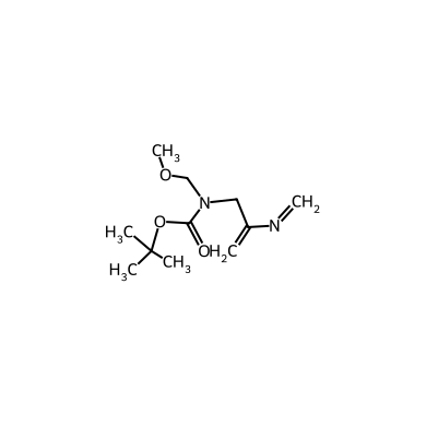 C=NC(=C)CN(COC)C(=O)OC(C)(C)C